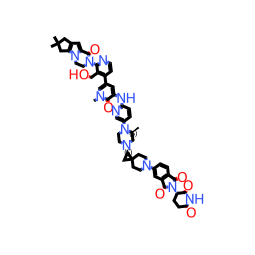 C[C@H]1CN([C@H]2CC23CCN(c2ccc4c(c2)C(=O)N(C2CCC(=O)NC2=O)C4=O)CC3)CCN1c1ccc(Nc2cc(-c3ccnc(N4CCn5c(cc6c5CC(C)(C)C6)C4=O)c3CO)cn(C)c2=O)nc1